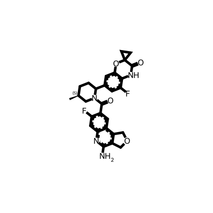 C[C@H]1CCC(c2cc(F)c3c(c2)OC2(CC2)C(=O)N3)N(C(=O)c2cc3c4c(c(N)nc3cc2F)COC4)C1